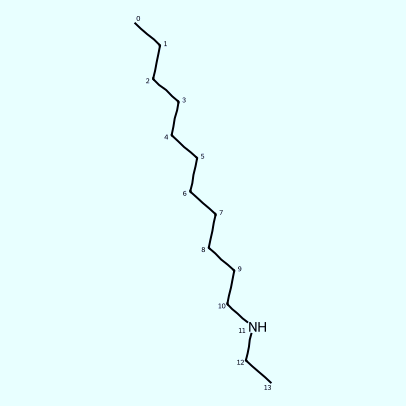 CCCCCCCCCCCNCC